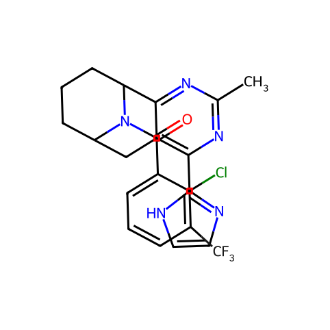 Cc1nc(-c2ncc[nH]2)c2c(n1)C1CCCC(C2)N1C(=O)c1cccc(C(F)(F)F)c1Cl